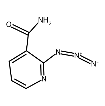 [N-]=[N+]=Nc1ncccc1C(N)=O